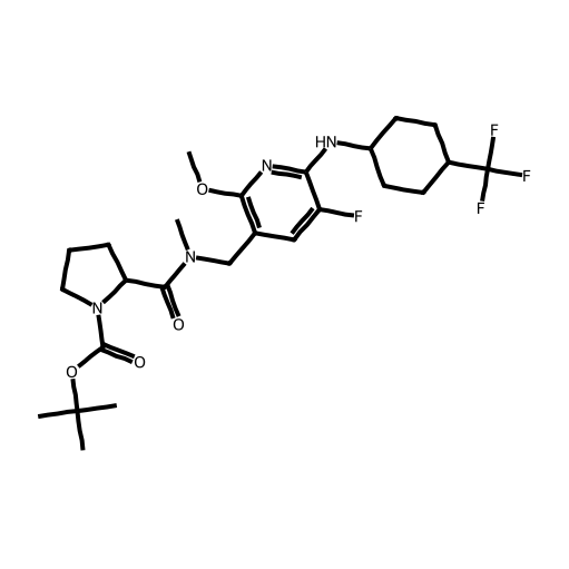 COc1nc(NC2CCC(C(F)(F)F)CC2)c(F)cc1CN(C)C(=O)C1CCCN1C(=O)OC(C)(C)C